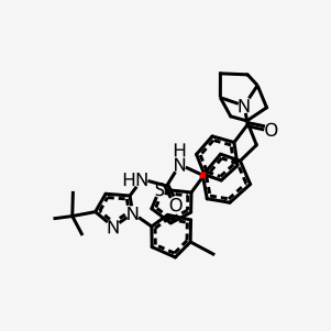 Cc1ccc(-n2nc(C(C)(C)C)cc2NC(=O)Nc2cccc(CC3CC4CCC(C3)N4C(=O)c3ccc(-c4cccs4)cc3)c2)cc1